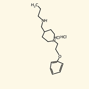 CCCNCC1CCN(CCOc2ccccc2)CC1.Cl.Cl